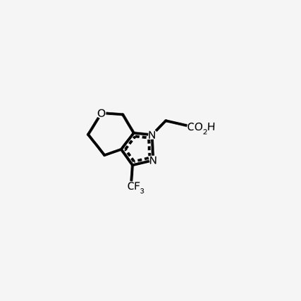 O=C(O)Cn1nc(C(F)(F)F)c2c1COCC2